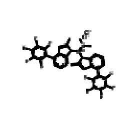 CC1=Cc2c(-c3c(F)c(F)c(F)c(F)c3F)cccc2[CH]1[Zr+2]([CH]1C(C)=Cc2c(-c3c(F)c(F)c(F)c(F)c3F)cccc21)=[Si](C)C.[Cl-].[Cl-]